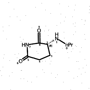 CCCN[C@@H]1CCC(=O)NC1=O